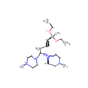 CCO[Si](C)(C=C[SiH2]C(N1CCN(C)CC1)N1CCN(C)CC1)OCC